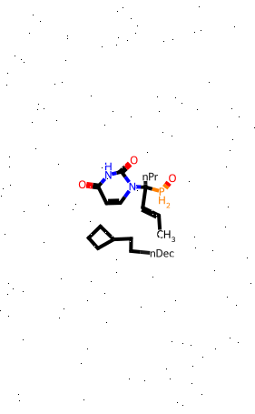 CC=CC(CCC)([PH2]=O)n1ccc(=O)[nH]c1=O.CCCCCCCCCCCCC1CCC1